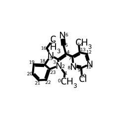 CCN1C(=C(C#N)c2nc(Cl)ncc2C)N(CC)c2ccccc21